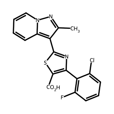 Cc1nn2ccccc2c1-c1nc(-c2c(F)cccc2Cl)c(C(=O)O)s1